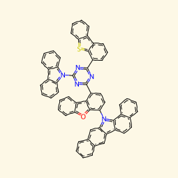 c1ccc2cc3c(cc2c1)c1ccc2ccccc2c1n3-c1ccc(-c2nc(-c3cccc4c3sc3ccccc34)nc(-n3c4ccccc4c4ccccc43)n2)c2c1oc1ccccc12